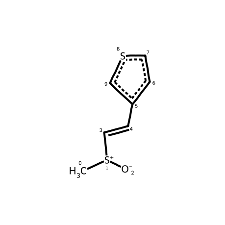 C[S+]([O-])/C=C/c1ccsc1